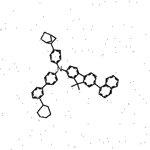 CC1(C)c2cc(-c3cccc4ccccc34)ccc2-c2ccc(N(c3ccc(-c4cccc(C5CCCCC5)c4)cc3)c3ccc(C4CC5CCC4C5)cc3)cc21